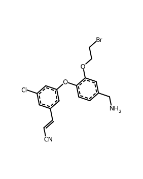 N#C/C=C/c1cc(Cl)cc(Oc2ccc(CN)cc2OCCBr)c1